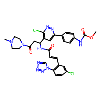 COC(=O)Nc1ccc(-c2cc(C(CC(=O)N3CCN(C)CC3)NC(=O)C=Cc3cc(Cl)ccc3-n3cnnn3)c(Cl)nn2)cc1